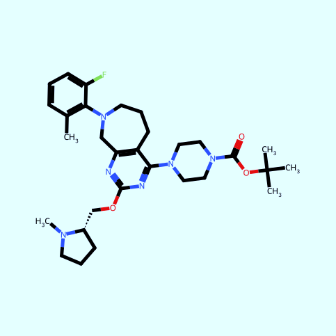 Cc1cccc(F)c1N1CCCc2c(nc(OC[C@@H]3CCCN3C)nc2N2CCN(C(=O)OC(C)(C)C)CC2)C1